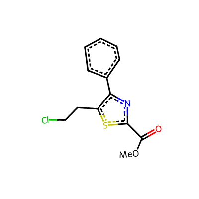 COC(=O)c1nc(-c2ccccc2)c(CCCl)s1